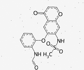 CS(=O)(=O)Nc1cc2occc(=O)c2cc1Oc1ccccc1NC=O